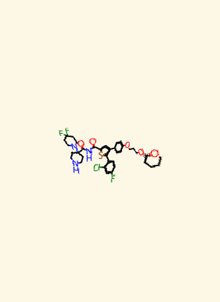 O=C(NC(=O)C1(N2CCC(F)(F)CC2)CCNCC1)c1cc(-c2ccc(OCCCO[C@@H]3CCCCO3)cc2)c(-c2ccc(F)cc2Cl)s1